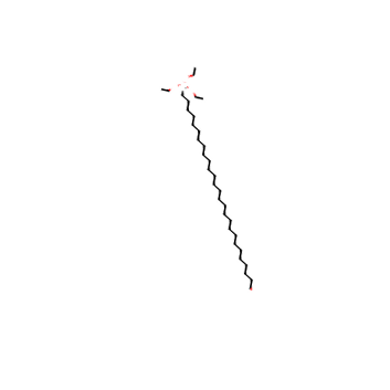 CCO[Si](CCCCCCCCCCCCCCCCCCCCCCCCCCCO)(OCC)OCC